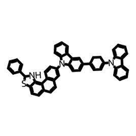 C1=C(c2ccc3c(c2)c2ccccc2n3-c2ccc3c(ccc4ccc5c(c43)NC(c3ccccc3)S5)c2)CCC(n2c3ccccc3c3ccccc32)=C1